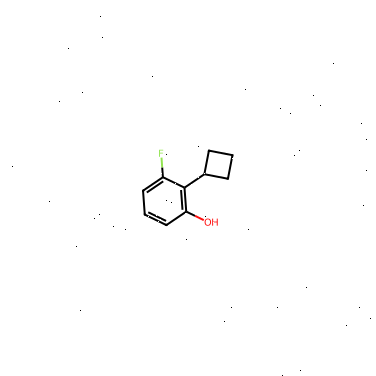 Oc1cccc(F)c1C1CCC1